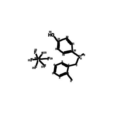 Cc1ccccc1C[S+](C)c1ccc(O)cc1.F[P-](F)(F)(F)(F)F